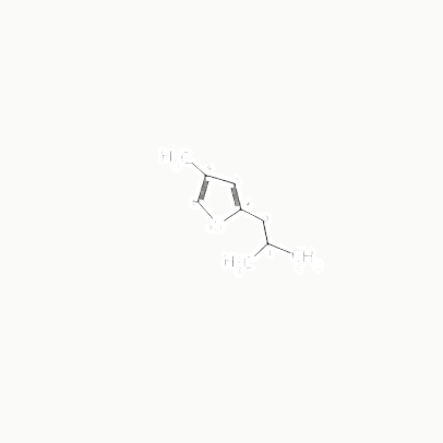 C[C](C)Cc1cc(C)cs1